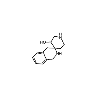 OC1CNCCC12Cc1ccccc1CN2